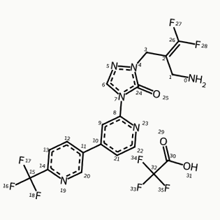 NCC(Cn1ncn(-c2cc(-c3ccc(C(F)(F)F)nc3)ccn2)c1=O)=C(F)F.O=C(O)C(F)(F)F